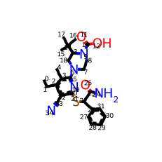 CCc1c(C)c(N2CCN(C(=O)O)C(C(C)(C)C)C2)nc(SC(C(N)=O)c2ccccc2)c1C#N